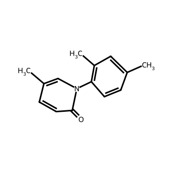 Cc1ccc(-n2cc(C)ccc2=O)c(C)c1